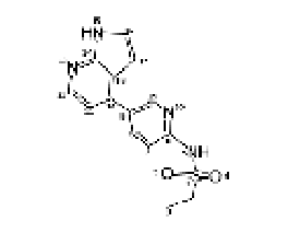 CCS(=O)(=O)Nc1ccc(-c2ccnc3[nH]ccc23)cn1